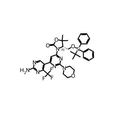 CC1(C)OC(=O)N(c2cc(-c3cnc(N)nc3C(F)(F)F)nc(N3CCOCC3)n2)[C@H]1CO[Si](c1ccccc1)(c1ccccc1)C(C)(C)C